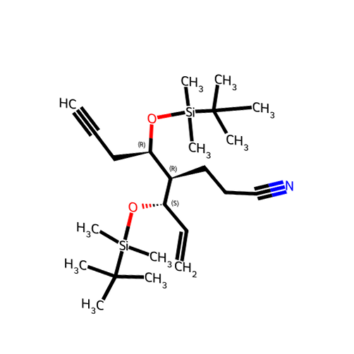 C#CC[C@@H](O[Si](C)(C)C(C)(C)C)[C@@H](CCC#N)[C@H](C=C)O[Si](C)(C)C(C)(C)C